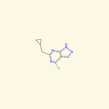 Clc1nc(CC2CC2)nc2[nH]ncc12